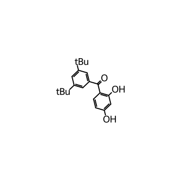 CC(C)(C)c1cc(C(=O)c2ccc(O)cc2O)cc(C(C)(C)C)c1